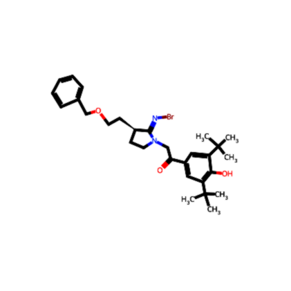 CC(C)(C)c1cc(C(=O)CN2CC[C@@H](CCOCc3ccccc3)/C2=N/Br)cc(C(C)(C)C)c1O